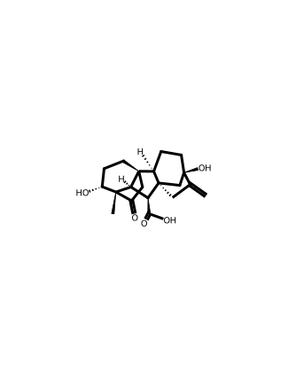 C=C1C[C@@]23C[C@]1(O)CC[C@@H]2[C@]12CC[C@@H](O)[C@@](C)(C(=O)C1)[C@@H]2[C@@H]3C(=O)O